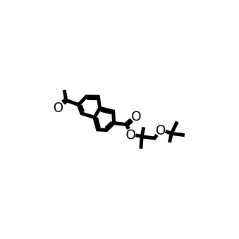 CC(=O)c1ccc2cc(C(=O)OC(C)(C)COC(C)(C)C)ccc2c1